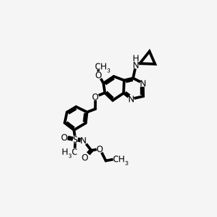 CCOC(=O)N=S(C)(=O)c1cccc(COc2cc3ncnc(NC4CC4)c3cc2OC)c1